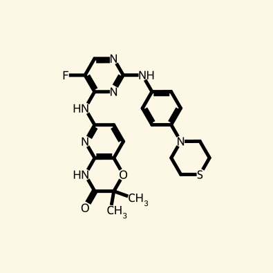 CC1(C)Oc2ccc(Nc3nc(Nc4ccc(N5CCSCC5)cc4)ncc3F)nc2NC1=O